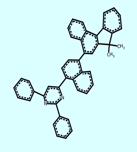 CC1(C)c2ccccc2-c2c1cc(-c1ccc(-c3cc(-c4ccccc4)nc(-c4ccccc4)n3)c3ccccc13)c1ccccc21